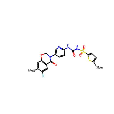 CNc1cc2c(cc1F)C(=O)N(c1ccc(NC(=O)NS(=O)(=O)c3ccc(OC)s3)nc1)CO2